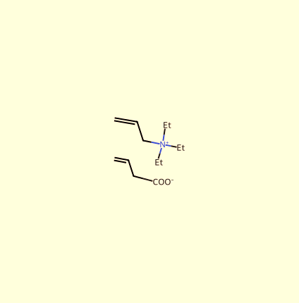 C=CCC(=O)[O-].C=CC[N+](CC)(CC)CC